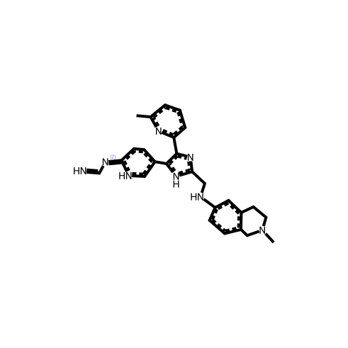 Cc1cccc(-c2nc(CNc3ccc4c(c3)CCN(C)C4)[nH]c2-c2cc/c(=N/C=N)[nH]c2)n1